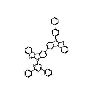 c1ccc(-c2ccc(-n3c4ccc(-c5ccc6c(c5)n5c7ccccc7nc5n6-c5nc(-c6ccccc6)nc(-c6ccccc6)n5)cc4n4c5ccccc5nc34)cc2)cc1